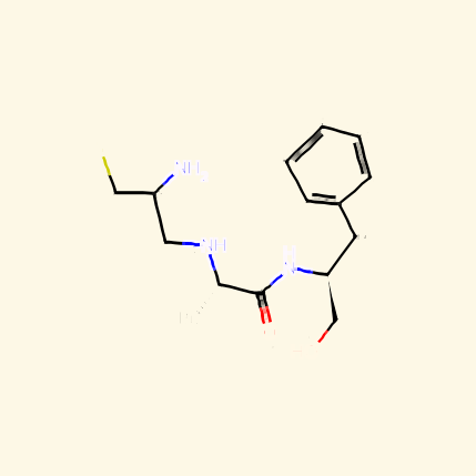 CCC(C)[C@H](NCC(N)CS)C(=O)N[C@H](CO)Cc1ccccc1